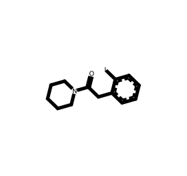 O=C(Cc1ccccc1I)N1CCCCC1